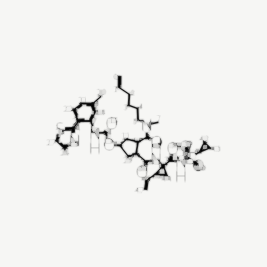 C=CCCCCN(C)C(=O)C1CC(OC(=O)Nc2cc(C)ccc2-c2nccs2)CC1C(=O)NC1(C(=O)NS(=O)(=O)C2CC2)CC1C=C